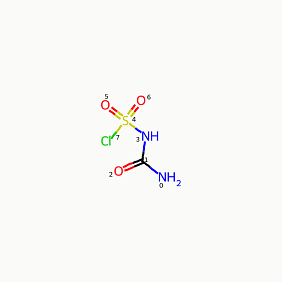 NC(=O)NS(=O)(=O)Cl